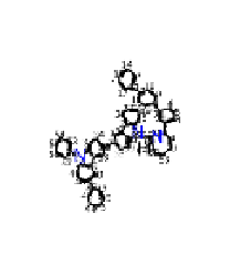 C1=CC(c2cccc(-c3ccc(-c4ccccc4)cc3)c2)N2C(n3c4ccccc4c4cc(-c5ccc6c(c5)c5cc(-c7ccccc7)ccc5n6-c5ccccc5)ccc43)[C@@H]2CC1